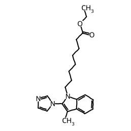 CCOC(=O)CCCCCCCn1c(-n2ccnc2)c(C)c2ccccc21